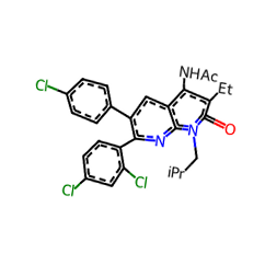 CCc1c(NC(C)=O)c2cc(-c3ccc(Cl)cc3)c(-c3ccc(Cl)cc3Cl)nc2n(CC(C)C)c1=O